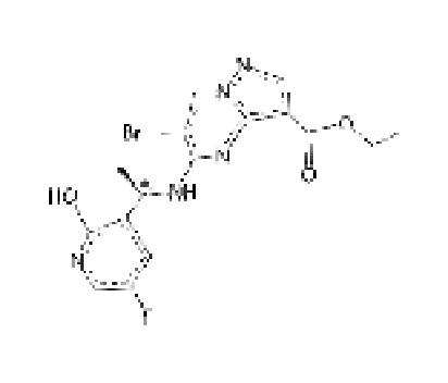 CCOC(=O)c1cnn2cc(Br)c(N[C@H](C)c3cc(F)cnc3O)nc12